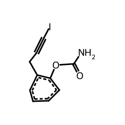 NC(=O)Oc1ccccc1CC#CI